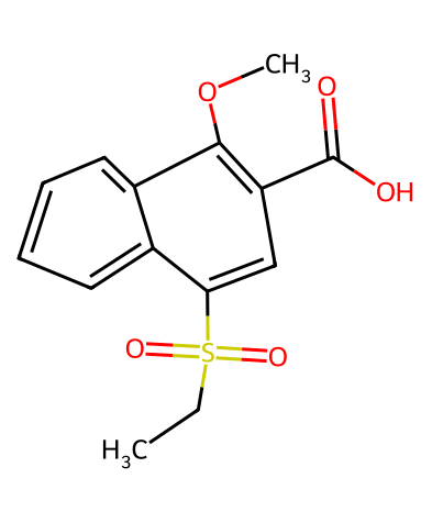 CCS(=O)(=O)c1cc(C(=O)O)c(OC)c2ccccc12